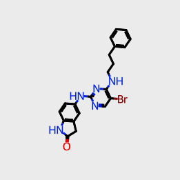 O=C1Cc2cc(Nc3ncc(Br)c(NCCCc4ccccc4)n3)ccc2N1